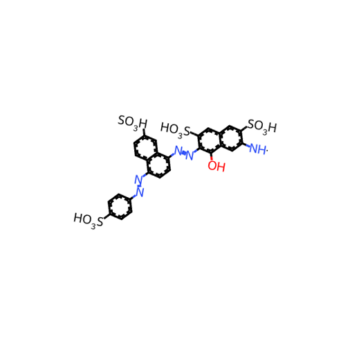 [NH]c1cc2c(O)c(N=Nc3ccc(N=Nc4ccc(S(=O)(=O)O)cc4)c4ccc(S(=O)(=O)O)cc34)c(S(=O)(=O)O)cc2cc1S(=O)(=O)O